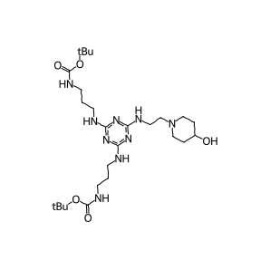 CC(C)(C)OC(=O)NCCCNc1nc(NCCCNC(=O)OC(C)(C)C)nc(NCCN2CCC(O)CC2)n1